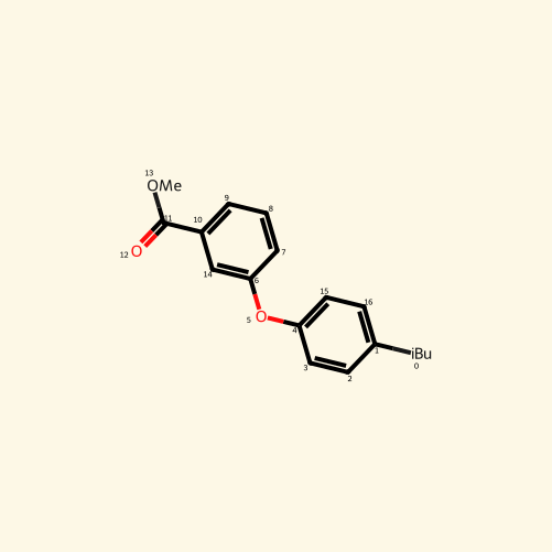 CCC(C)c1ccc(Oc2cccc(C(=O)OC)c2)cc1